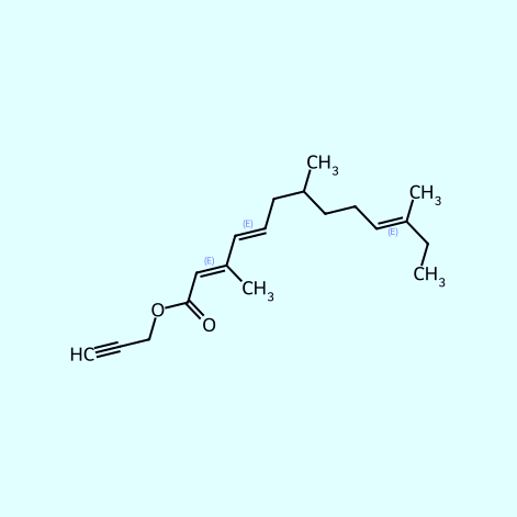 C#CCOC(=O)/C=C(C)/C=C/CC(C)CC/C=C(\C)CC